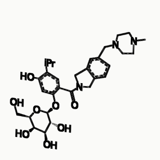 CC(C)c1cc(C(=O)N2Cc3ccc(CN4CCN(C)CC4)cc3C2)c(O[C@@H]2O[C@H](CO)[C@H](O)[C@H](O)[C@H]2O)cc1O